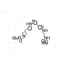 CC(C)(C)OC(=O)CN1CCC(Cc2cccc(Nc3cc(-c4ccc(NCCCNC(=O)OC(C)(C)C)nc4)ccn3)c2)CC1